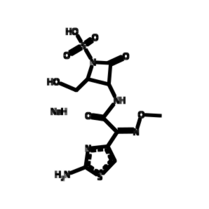 CO/N=C(\C(=O)NC1C(=O)N(S(=O)(=O)O)C1CO)c1csc(N)n1.[NaH]